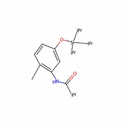 Cc1ccc(O[Si](C(C)C)(C(C)C)C(C)C)cc1NC(=O)C(C)C